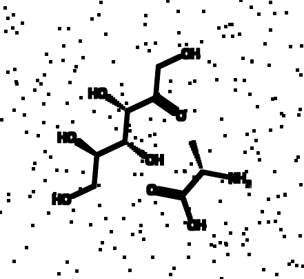 C[C@H](N)C(=O)O.O=C(CO)[C@@H](O)[C@H](O)[C@H](O)CO